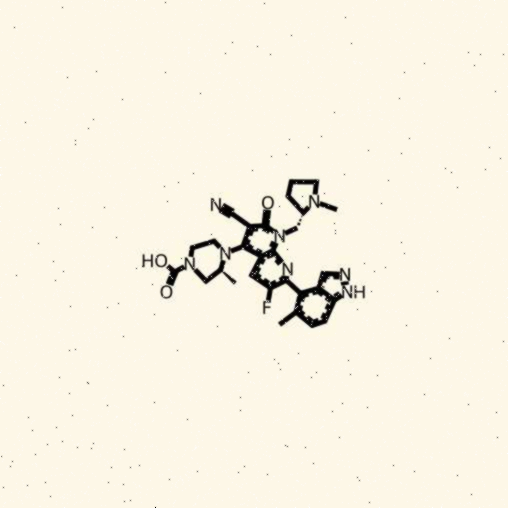 Cc1ccc2[nH]ncc2c1-c1nc2c(cc1F)c(N1CCN(C(=O)O)C[C@@H]1C)c(C#N)c(=O)n2C[C@@H]1CCCN1C